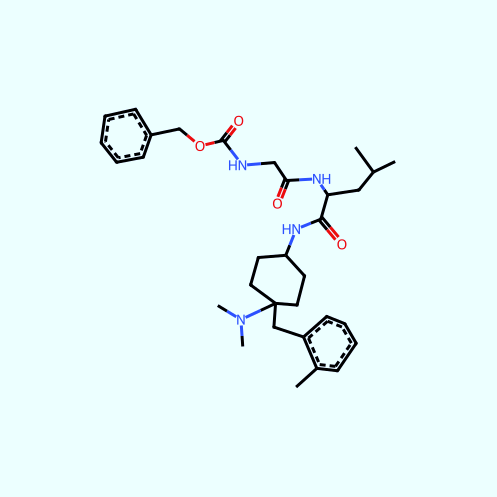 Cc1ccccc1CC1(N(C)C)CCC(NC(=O)C(CC(C)C)NC(=O)CNC(=O)OCc2ccccc2)CC1